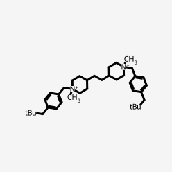 CC(C)(C)Cc1ccc(C[N+]2(C)CCC(CCC3CC[N+](C)(Cc4ccc(CC(C)(C)C)cc4)CC3)CC2)cc1